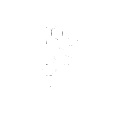 C[C@@H](O)C(NC(=O)[C@@H]1CCCN1C(=O)[C@@H]1CCCN1C(=O)[C@@H](NC(=O)OC(C)(C)C)[C@@H](C)O)C(N)=O